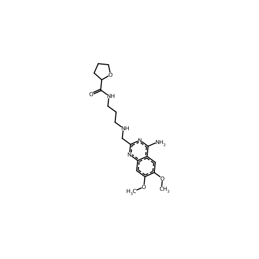 COc1cc2nc(CNCCCNC(=O)C3CCCO3)nc(N)c2cc1OC